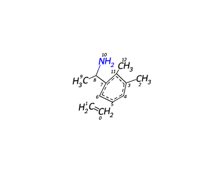 C=C.Cc1cccc(C(C)N)c1C